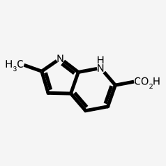 Cc1cc2ccc(C(=O)O)[nH]c-2n1